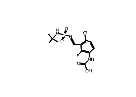 CC(C)(C)NS(=O)(=O)N=Cc1c(Cl)ccc(NC(=O)O)c1F